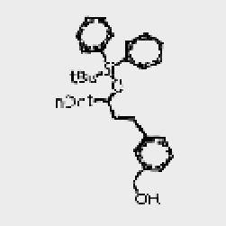 CCCCCCCCC(/C=C/c1cccc(CO)c1)O[Si](c1ccccc1)(c1ccccc1)C(C)(C)C